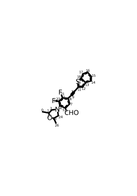 CC1CN(c2c(C=O)cc(C#Cc3cc4ccccc4s3)c(F)c2F)CC(C)O1